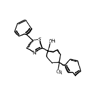 N#CC1(c2ccccc2)CCC(O)(c2ncc(-c3ccccc3)s2)CC1